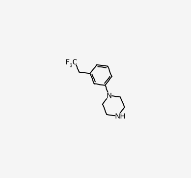 FC(F)(F)Cc1cccc(N2CCNCC2)c1